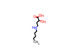 CCCCCNCCC(O)C(=O)O